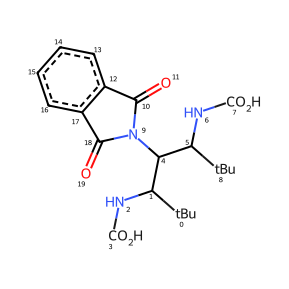 CC(C)(C)C(NC(=O)O)C(C(NC(=O)O)C(C)(C)C)N1C(=O)c2ccccc2C1=O